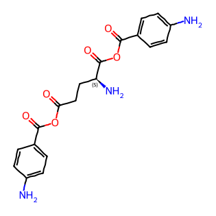 Nc1ccc(C(=O)OC(=O)CC[C@H](N)C(=O)OC(=O)c2ccc(N)cc2)cc1